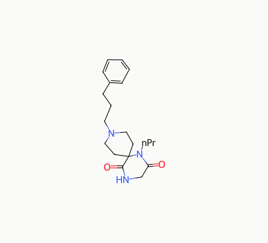 CCCN1C(=O)CNC(=O)C12CCN(CCCc1ccccc1)CC2